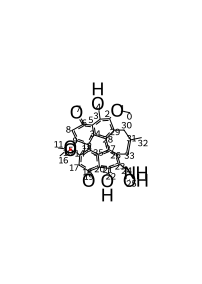 COc1c(O)c2c(=O)cc(OC)c3c4c(OC)cc(=O)c5c(O)c(NO)c6c(c(c1CC(C)=C6)c23)c54